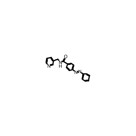 O=C(NCc1cccnc1)c1ccc(/N=N/c2ccccc2)cc1